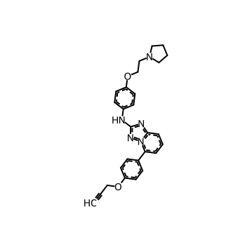 C#CCOc1ccc(-c2cccc3nc(Nc4ccc(OCCN5CCCC5)cc4)nn23)cc1